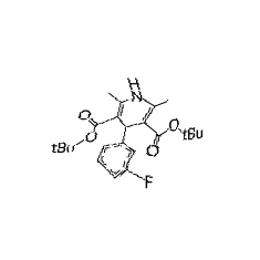 CC1=C(C(=O)OC(C)(C)C)C(c2cccc(F)c2)C(C(=O)OC(C)(C)C)=C(C)N1